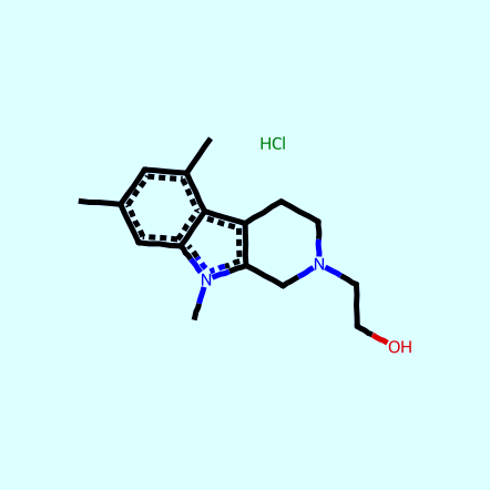 Cc1cc(C)c2c3c(n(C)c2c1)CN(CCO)CC3.Cl